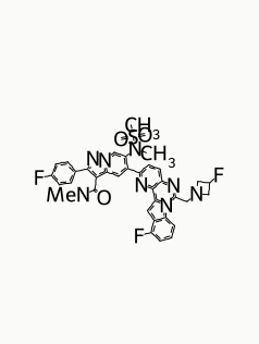 CNC(=O)c1c(-c2ccc(F)cc2)nn2cc(N(C)S(C)(=O)=O)c(-c3ccc4nc(CN5CC(F)C5)n5c6cccc(F)c6cc5c4n3)cc12